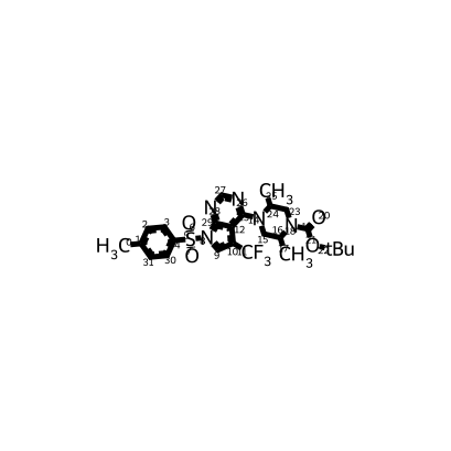 Cc1ccc(S(=O)(=O)n2cc(C(F)(F)F)c3c(N4CC(C)N(C(=O)OC(C)(C)C)CC4C)ncnc32)cc1